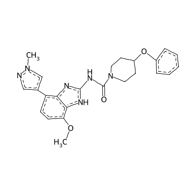 COc1ccc(-c2cnn(C)c2)c2nc(NC(=O)N3CCC(Oc4ccccc4)CC3)[nH]c12